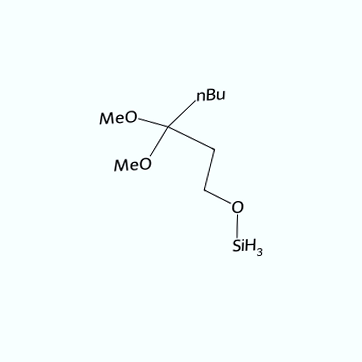 CCCCC(CCO[SiH3])(OC)OC